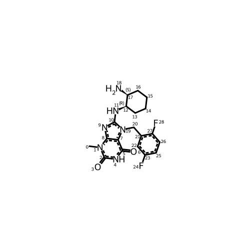 Cn1c(=O)[nH]c(=O)c2c1nc(N[C@@H]1CCCC[C@@H]1N)n2Cc1cc(F)ccc1F